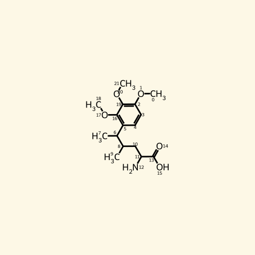 COc1ccc(C(C)C(C)CC(N)C(=O)O)c(OC)c1OC